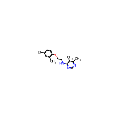 CCc1ccc(OCCNc2ncnc(C)c2C)c(C)c1